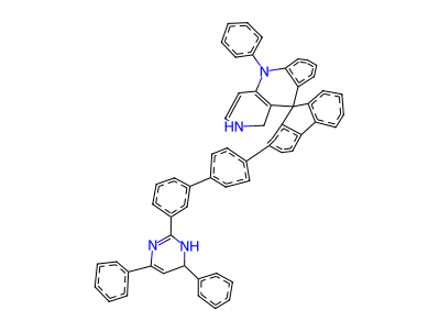 C1=CC2=C(CN1)C1(c3ccccc3-c3ccc(-c4ccc(-c5cccc(C6=NC(c7ccccc7)=CC(c7ccccc7)N6)c5)cc4)cc31)c1ccccc1N2c1ccccc1